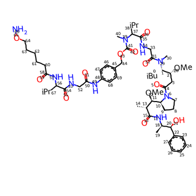 CC[C@H](C)[C@@H]([C@@H](CC(=O)N1CCC[C@H]1[C@H](OC)[C@@H](C)C(=O)N[C@H](C)[C@@H](O)c1ccccc1)OC)N(C)C(=O)CNC(=O)C(C(C)C)N(C)C(=O)OCc1ccc(NC(=O)CNC(=O)C(NC(=O)CCCCCON)C(C)C)cc1